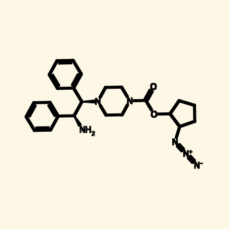 [N-]=[N+]=NC1CCCC1OC(=O)N1CCN([C@H](c2ccccc2)[C@@H](N)c2ccccc2)CC1